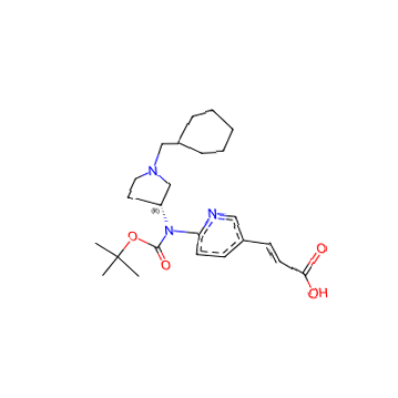 CC(C)(C)OC(=O)N(c1ccc(C=CC(=O)O)cn1)[C@@H]1CCN(CC2CCCCC2)C1